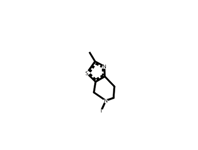 Cc1nc2c(s1)CN(I)CC2